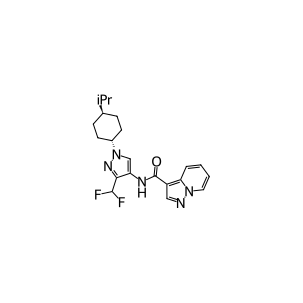 CC(C)[C@H]1CC[C@H](n2cc(NC(=O)c3cnn4ccccc34)c(C(F)F)n2)CC1